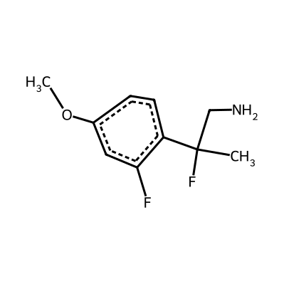 COc1ccc(C(C)(F)CN)c(F)c1